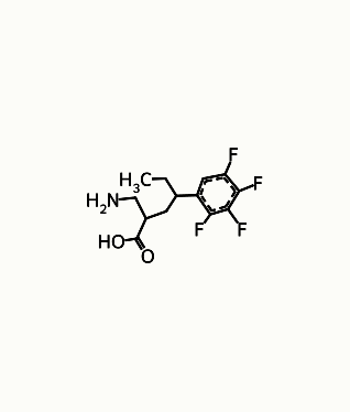 CCC(CC(CN)C(=O)O)c1cc(F)c(F)c(F)c1F